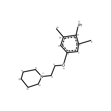 Cc1cc(OCCN2CCCCC2)cc(C)c1C(C)C